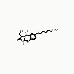 CC(=O)OCCCCCOc1ccc2c(c1)CN1C(=N2)NC(=O)C1CC(=O)O